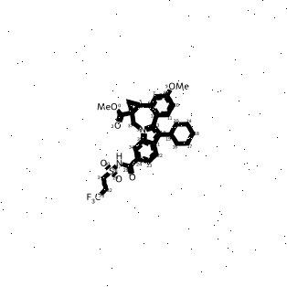 COC(=O)C12CC1c1cc(OC)ccc1-c1c(C3CCCCC3)c3ccc(C(=O)NS(=O)(=O)CCC(F)(F)F)cc3n1C2